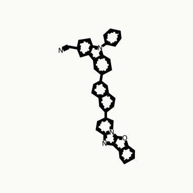 N#Cc1ccc2c(c1)c1cc(-c3ccc4cc(-c5ccc6nc7c8ccccc8oc7n6c5)ccc4c3)ccc1n2-c1ccccc1